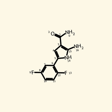 NC(=O)c1cc(-c2cc(F)ccc2F)[nH]c1N